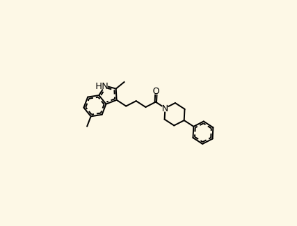 Cc1ccc2[nH]c(C)c(CCCC(=O)N3CCC(c4ccccc4)CC3)c2c1